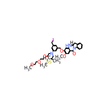 COCCOCCOCCN(CC(C)(C)SSC)c1cc(CI)cc(COc2cc3c(cc2OC)C(=O)N2c4ccccc4C[C@H]2N3)c1